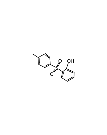 Cc1ccc(S(=O)(=O)c2ccccc2O)cc1